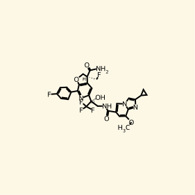 COc1cc(C(=O)NC[C@](O)(c2cc3c(c(-c4ccc(F)cc4)n2)OC[C@@]3(CF)C(N)=O)C(F)(F)F)cn2cc(C3CC3)nc12